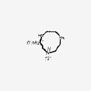 C1CNCCNCCN1.[Cl-].[Cl-].[Mg+2]